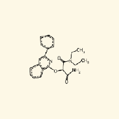 CCN(CC)C(=O)C(Oc1nc(-c2ccccc2)cc2ccccc12)C(N)=O